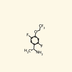 C[C@H](N)c1cc(F)c(OCC(F)(F)F)cc1F